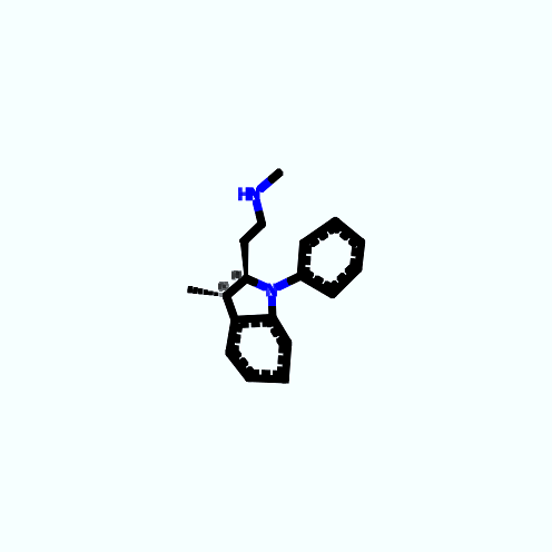 CNCC[C@@H]1[C@@H](C)c2ccccc2N1c1ccccc1